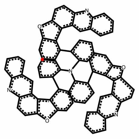 c1ccc(N(c2ccccc2-c2cccc3oc4ccc5nc6ccccc6cc5c4c23)c2ccccc2-c2cccc3oc4ccc5nc6ccccc6cc5c4c23)c(-c2cccc3oc4ccc5nc6ccccc6cc5c4c23)c1